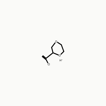 C=C(Cl)C1COCCO1.[H+]